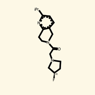 CC(C)c1ccc2c(n1)CCN(C(=O)CN1CC[C@@H](F)C1)C2